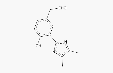 Cc1nn(-c2cc(CC=O)ccc2O)nc1C